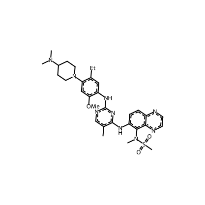 CCc1cc(Nc2ncc(C)c(Nc3ccc4nccnc4c3N(C)S(C)(=O)=O)n2)c(OC)cc1N1CCC(N(C)C)CC1